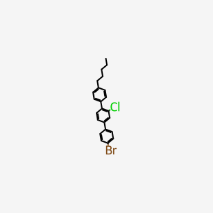 CCCCCc1ccc(-c2ccc(-c3ccc(Br)cc3)cc2Cl)cc1